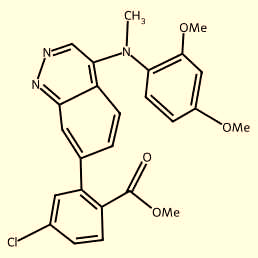 COC(=O)c1ccc(Cl)cc1-c1ccc2c(N(C)c3ccc(OC)cc3OC)cnnc2c1